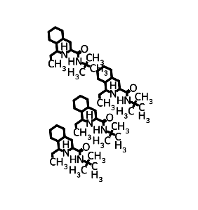 CCC1NC(C(=O)NC(C)(C)C)CC2CCCCC21.CCC1NC(C(=O)NC(C)(C)C)CC2CCCCC21.CCC1NC(C(=O)NC(C)(C)C)CC2CCCCC21.CCC1NC(C(=O)NC(C)(C)C)CC2CCCCC21